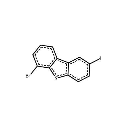 Brc1cccc2c1sc1ccc(I)cc12